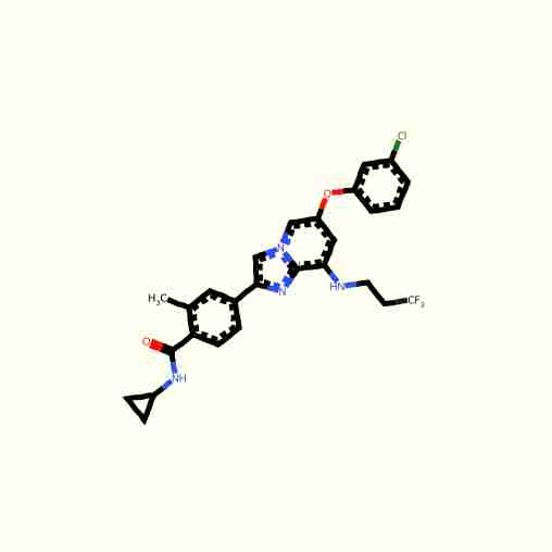 Cc1cc(-c2cn3cc(Oc4cccc(Cl)c4)cc(NCCC(F)(F)F)c3n2)ccc1C(=O)NC1CC1